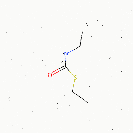 CC[N]C(=O)SCC